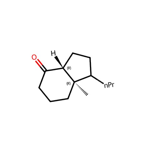 CCCC1CC[C@H]2C(=O)CCC[C@]12C